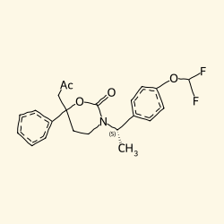 CC(=O)CC1(c2ccccc2)CCN([C@@H](C)c2ccc(OC(F)F)cc2)C(=O)O1